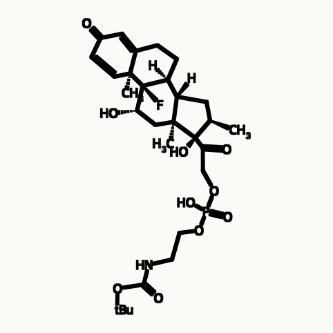 C[C@@H]1C[C@H]2[C@@H]3CCC4=CC(=O)C=C[C@]4(C)[C@@]3(F)[C@@H](O)C[C@]2(C)[C@@]1(O)C(=O)COP(=O)(O)OCCNC(=O)OC(C)(C)C